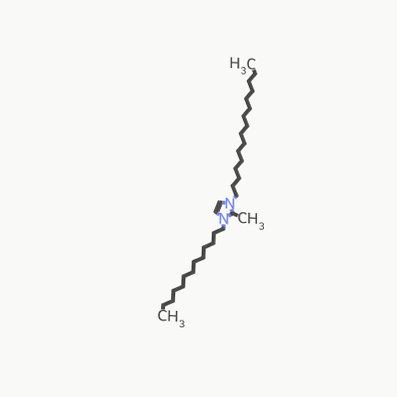 CCCCCCCCCCCCCCCCN1C=CN(CCCCCCCCCCCCC)C1C